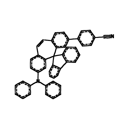 N#Cc1ccc(-c2ccc3c(c2)C2(c4cc(N(c5ccccc5)c5ccccc5)ccc4C=C3)c3ccccc3-c3ccccc32)cc1